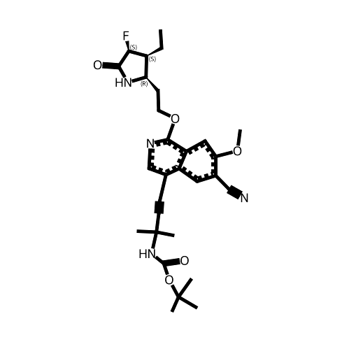 CC[C@@H]1[C@H](F)C(=O)N[C@@H]1CCOc1ncc(C#CC(C)(C)NC(=O)OC(C)(C)C)c2cc(C#N)c(OC)cc12